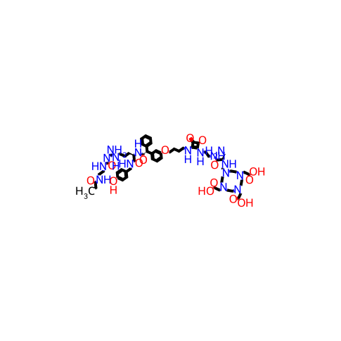 CCC(=O)NCCNC(=O)/N=C(/N)NCCC[C@@H](NC(=O)[C@H](c1ccccc1)c1cccc(OCCCCNc2c(NCCNC(=O)[C@@H](CN)NCN3CCN(CC(=O)O)CCN(CC(=O)O)CCN(CC(=O)O)CC3)c(=O)c2=O)c1)C(=O)NCc1ccc(O)cc1